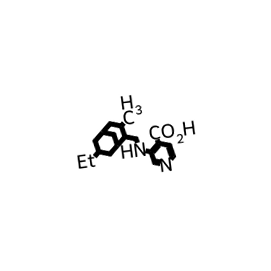 CCC1CC2CC(C)C(CNc3cnccc3C(=O)O)C(C1)C2